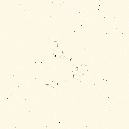 CC1CC2C3CC(C(=O)OC45CC6CC(CC(COC(=O)C(F)(F)S(=O)(=O)O)(C6)C4)C5)C(C3)C2C1